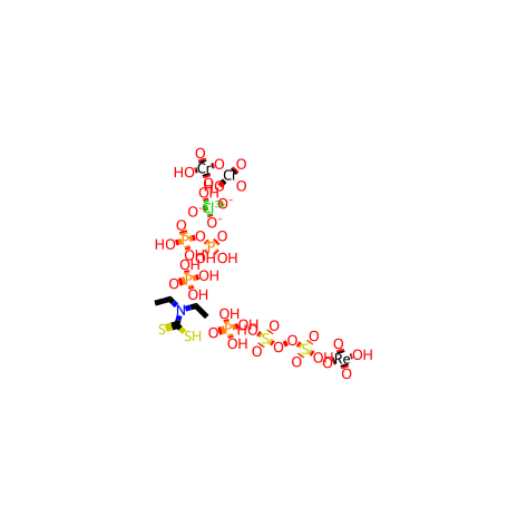 CCN(CC)C(=S)S.O=P(O)(O)O.O=P(O)(O)O.O=P(O)(O)OP(=O)(O)O.O=S(=O)(O)OOS(=O)(=O)O.[O-][Cl+3]([O-])([O-])O.[O]=[Cr](=[O])([OH])[O][Cr](=[O])(=[O])[OH].[O]=[Re](=[O])(=[O])[OH]